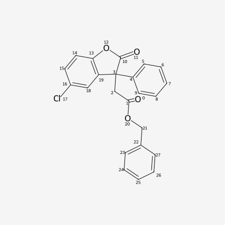 O=C(CC1(c2ccccc2)C(=O)Oc2ccc(Cl)cc21)OCc1ccccc1